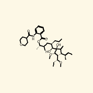 CCC[C@H](CC(C)[C@H](C)OC(=O)c1ccccc1NC(=O)C1CCOCC1)[C@H](O)[C@]1(O)C(C)C([C@H](C)CC)[C@H]([C@@H](CC)OC)[C@@H]1OC